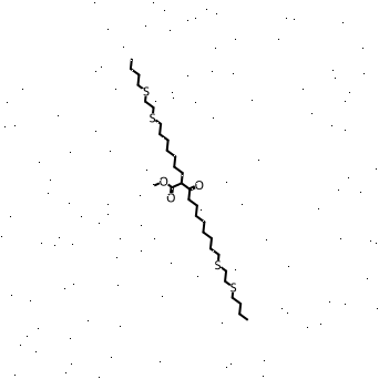 CCCCSCCSCCCCCCCCC(=O)C(CCCCCCCSCCSCCCC)C(=O)OC